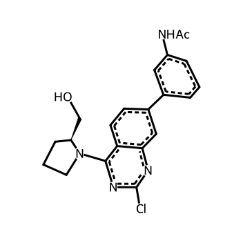 CC(=O)Nc1cccc(-c2ccc3c(N4CCC[C@H]4CO)nc(Cl)nc3c2)c1